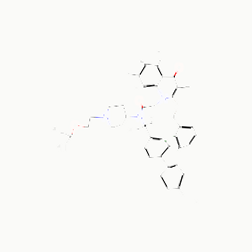 [2H]c1c(C)c([2H])c2c(c1[2H])c(=O)c([2H])c(SCc1cccc(F)c1F)n2CC(=O)N(C1CCN(CCOC([2H])([2H])[2H])CC1)C([2H])([2H])c1ccc(-c2ccc(C(F)(F)F)cc2)cc1